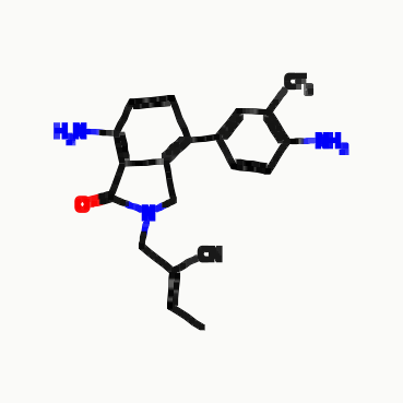 C/C=C(\C#N)CN1Cc2c(-c3ccc(N)c(C(F)(F)F)c3)ccc(N)c2C1=O